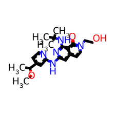 COC(C)c1ccnc(Nc2cc3ccn(CCO)c(=O)c3c(NC(C)(C)C)n2)c1